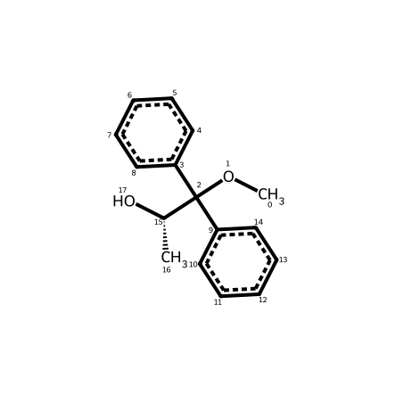 COC(c1ccccc1)(c1ccccc1)[C@H](C)O